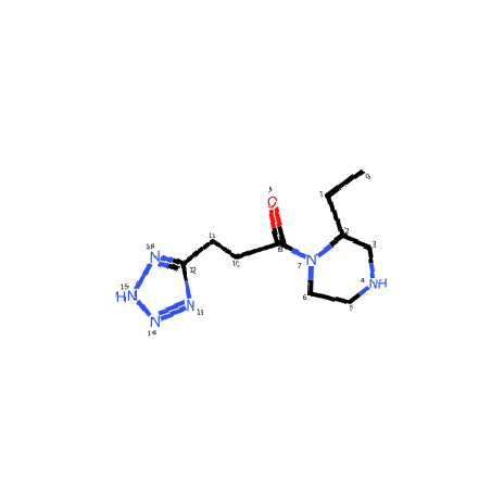 CCC1CNCCN1C(=O)CCc1nn[nH]n1